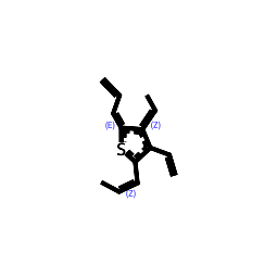 C=C/C=c1/sc(/C=C\C)c(C=C)/c1=C/C